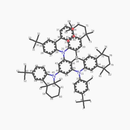 Cc1cc(C(C)(C)C)ccc1N1c2cc3c(cc2B2c4cc5c(cc4N(c4ccc(C(C)(C)C)cc4-c4ccccc4)c4cc(N6c7ccc(C(C)(C)C)cc7C7(C)CCCCC67C)cc1c42)C(C)(C)CCC5(C)C)C(C)(C)CCC3(C)C